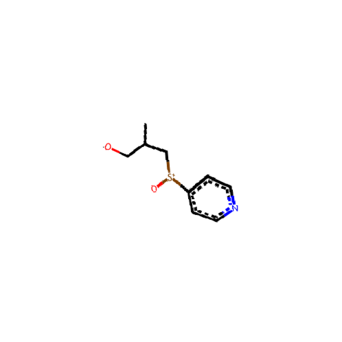 CC(C[O])C[S+]([O-])c1ccncc1